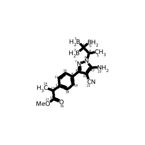 BC(B)(B)C(C)n1nc(-c2ccc(C(C)C(=O)OC)cc2)c(C#N)c1N